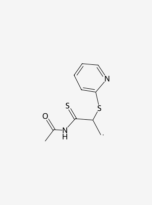 [CH2]C(Sc1ccccn1)C(=S)NC(C)=O